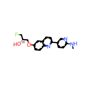 CNc1ccc(-c2ccc3cc(OC[C@H](O)CF)ccc3n2)cn1